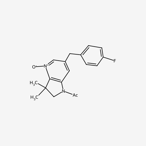 CC(=O)N1CC(C)(C)c2c1cc(Cc1ccc(F)cc1)c[n+]2[O-]